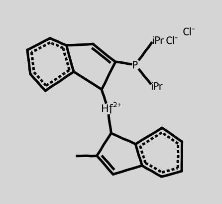 CC1=Cc2ccccc2[CH]1[Hf+2][CH]1C(P(C(C)C)C(C)C)=Cc2ccccc21.[Cl-].[Cl-]